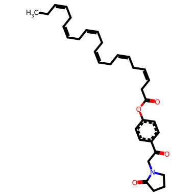 CC/C=C\C/C=C\C/C=C\C/C=C\C/C=C\C/C=C\CC(=O)Oc1ccc(C(=O)CN2CCCC2=O)cc1